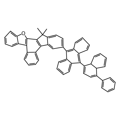 CC1(C)c2ccc(-c3c4ccccc4c(C4=CC=C(c5ccccc5)C5C=CC=CC45)c4ccccc34)cc2-c2c1c1oc3ccccc3c1c1ccccc21